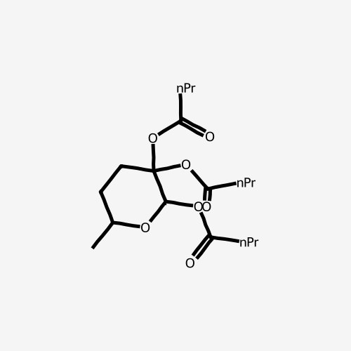 CCCC(=O)O[C]1OC(C)CCC1(OC(=O)CCC)OC(=O)CCC